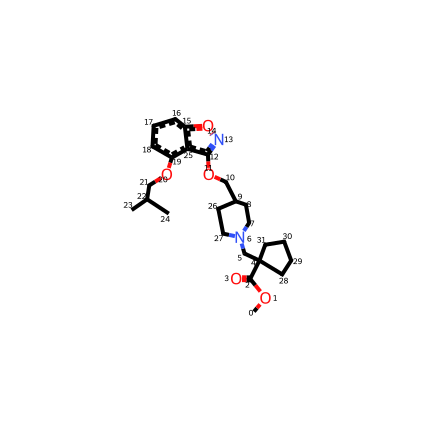 COC(=O)C1(CN2CCC(COc3noc4cccc(OCC(C)C)c34)CC2)CCCC1